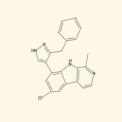 Cc1nccc2c1[nH]c1c(-c3c[nH]nc3Cc3ccccc3)cc(Cl)cc12